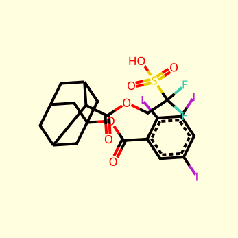 O=C(OC12CC3CC(C1)C(C(=O)OCC(F)(F)S(=O)(=O)O)C(C3)C2)c1cc(I)cc(I)c1I